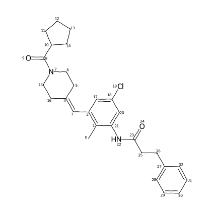 Cc1c(C=C2CCN(C(=O)C3CCCC3)CC2)cc(Cl)cc1NC(=O)CCc1ccccc1